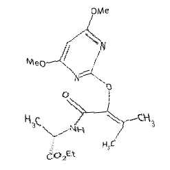 CCOC(=O)[C@H](C)NC(=O)C(Oc1nc(OC)cc(OC)n1)=C(C)C